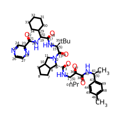 CCC[C@H](NC(=O)[C@@H]1C2CCCC2CN1C(=O)[C@@H](NC(=O)[C@@H](NC(=O)c1cnccn1)C1CCCCC1)C(C)(C)C)C(=O)C(=O)N[C@@H](C)c1ccc(C)cc1